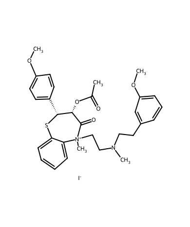 COc1ccc([C@H]2Sc3ccccc3[N+](C)(CCN(C)CCc3cccc(OC)c3)C(=O)[C@H]2OC(C)=O)cc1.[I-]